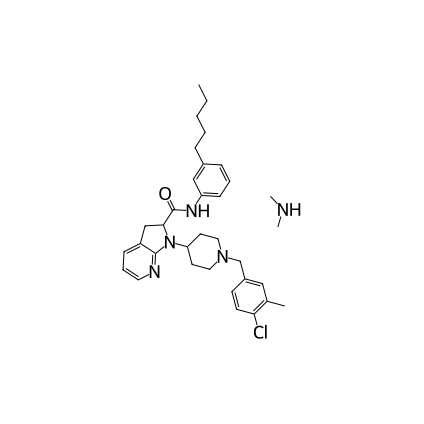 CCCCCc1cccc(NC(=O)C2Cc3cccnc3N2C2CCN(Cc3ccc(Cl)c(C)c3)CC2)c1.CNC